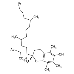 CC(=O)CC(=O)O.Cc1c(C)c2c(c(C)c1O)CC[C@@](C)(CCCC(C)CCCC(C)CCCC(C)C)O2